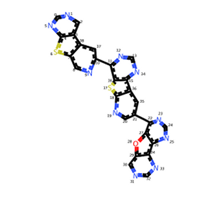 c1ncc2c(n1)sc1cnc(-c3ncnc4c3sc3ncc(-c5ncnc6c5oc5cncnc56)cc34)cc12